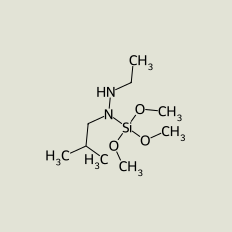 CCNN(CC(C)C)[Si](OC)(OC)OC